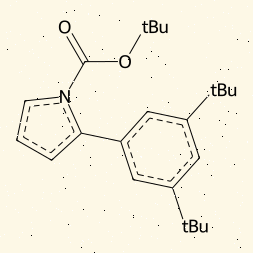 CC(C)(C)OC(=O)n1cccc1-c1cc(C(C)(C)C)cc(C(C)(C)C)c1